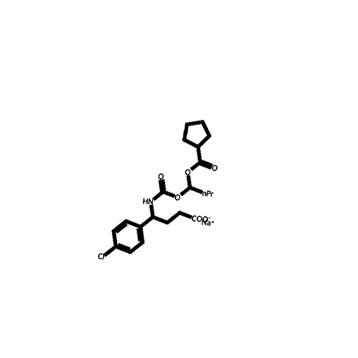 CCCC(OC(=O)NC(CCC(=O)[O-])c1ccc(Cl)cc1)OC(=O)C1CCCC1.[Na+]